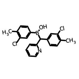 Cc1ccc(B(O)C(c2ccc(C)c(Cl)c2)c2ccccn2)cc1Cl